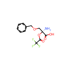 N[C@@](COCc1ccccc1)(OC(=O)C(F)(F)F)C(=O)O